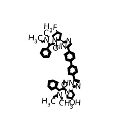 CCN(CC)C(C(=O)N1C[C@H](F)C[C@H]1c1ncc(-c2ccc(-c3ccc(-c4cnc([C@@H]5C[C@@H](O)CN5C(=O)[C@@H](c5ccccc5)N(CC)CC)[nH]4)cc3)cc2)[nH]1)c1ccccc1